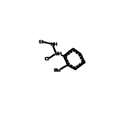 CCN[SiH](Cl)c1ccccc1C(C)CC